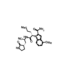 COc1cccc2c1cc(C(N)=O)n2[C@@H](CCSC)C(=O)N[C@H](C#N)C[C@@H]1CCNC1=O